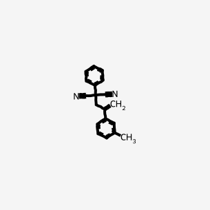 C=C(CC(C#N)(C#N)c1ccccc1)c1cccc(C)c1